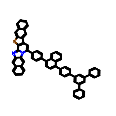 c1ccc(-c2cc(-c3ccccc3)cc(-c3ccc(-c4ccc(-c5ccc(-c6cc7c8cc9ccccc9cc8sc7c7nc8cc9ccccc9cc8n67)cc5)c5ccccc45)cc3)c2)cc1